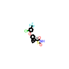 O=C1NC(=O)C([C@H]2c3ccc(Oc4ccc(C(F)(F)F)cc4Cl)cc3C3CC2C3)S1